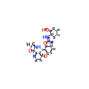 CNC(=O)c1cc(Oc2ccc3nc(N[C@@H]4CCCC[C@H]4O)oc3c2)ccn1